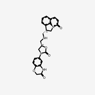 O=C1COc2ccc(N3C[C@@H](CNC[C@H]4Cn5c(=O)ccc6cccc4c65)OC3=O)cc2N1